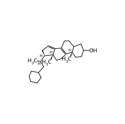 C[C@H](CC1CCCCC1)[C@H]1CC=C2C3=C(CC[C@@]21C)[C@@]1(C)CCC(O)CC1CC3